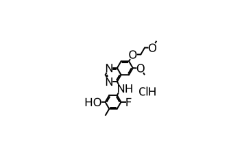 COCCOc1cc2ncnc(Nc3cc(O)c(C)cc3F)c2cc1OC.Cl